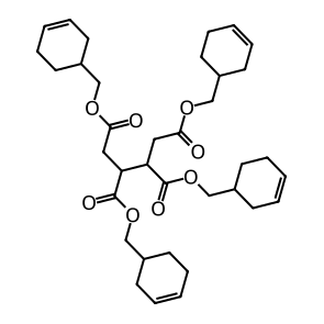 O=C(CC(C(=O)OCC1CC=CCC1)C(CC(=O)OCC1CC=CCC1)C(=O)OCC1CC=CCC1)OCC1CC=CCC1